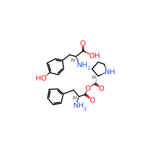 N[C@@H](Cc1ccc(O)cc1)C(=O)O.N[C@@H](Cc1ccccc1)C(=O)OC(=O)[C@@H]1CCCN1